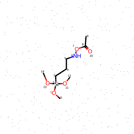 CO[Si](CCCNOC(C)=O)(OC)OC